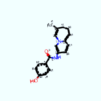 CC(=O)C1=CN2C=C(NC(=O)c3ccc(O)cc3)C=CC2=CCC1